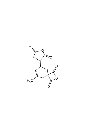 CC1=CC(C2CC(=O)OC2=O)CC2(C1)C(=O)OC2=O